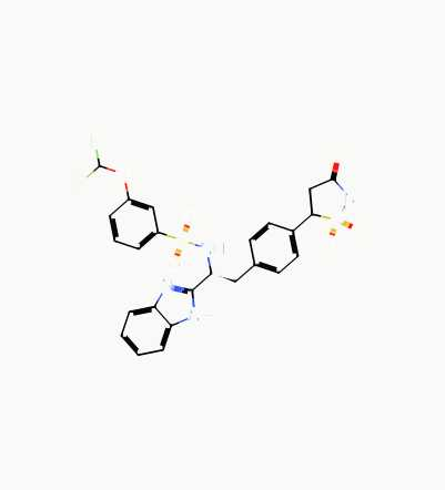 O=C1CC(c2ccc(C[C@H](NS(=O)(=O)c3cccc(OC(F)F)c3)c3nc4ccccc4[nH]3)cc2)S(=O)(=O)N1